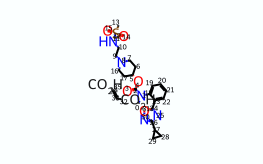 CN(C(=O)OC1CCN(CCNS(C)(=O)=O)CC1)c1ccccc1-c1nc(C2CC2)no1.O=C(O)/C=C\C(=O)O